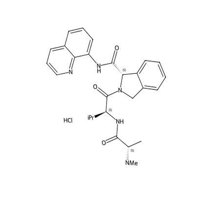 CN[C@@H](C)C(=O)N[C@H](C(=O)N1Cc2ccccc2[C@H]1C(=O)Nc1cccc2cccnc12)C(C)C.Cl